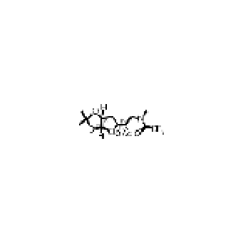 CC(=O)O[C@@H](CN(C)C(=O)C(F)(F)F)[C@@H]1C[C@H]2OC(C)(C)O[C@H]2O1